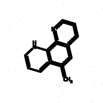 C=c1cc2cccnc2c2c1=CC=CN2